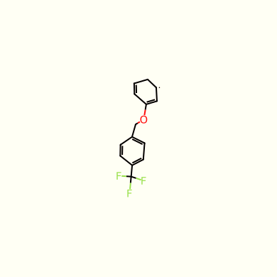 FC(F)(F)c1ccc(COC2=C[CH]CC=C2)cc1